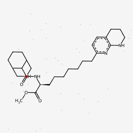 COC(=O)[C@H](CCCCCCCc1ccc2c(n1)NCCC2)NC(=O)C1C2CCCC1CNC2